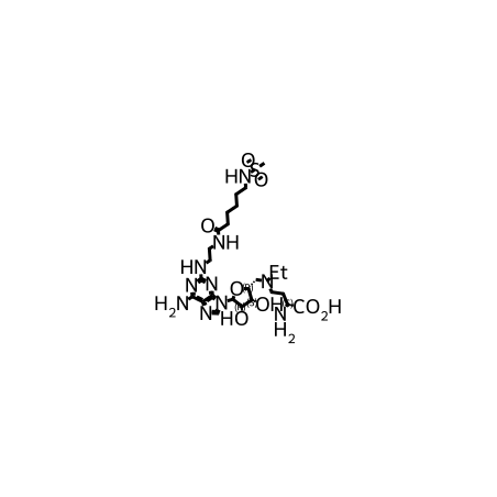 CCN(CC[C@H](N)C(=O)O)C[C@H]1OC(n2cnc3c(N)nc(NCCNC(=O)CCCCCNS(C)(=O)=O)nc32)[C@H](O)[C@@H]1O